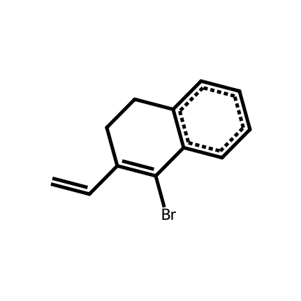 C=CC1=C(Br)c2ccccc2CC1